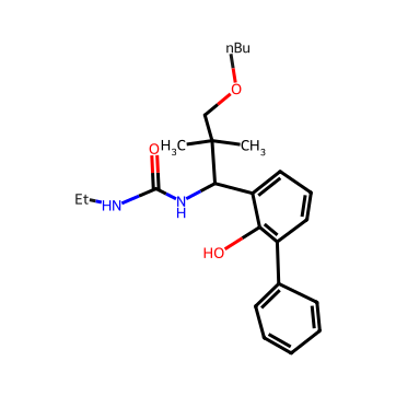 CCCCOCC(C)(C)C(NC(=O)NCC)c1cccc(-c2ccccc2)c1O